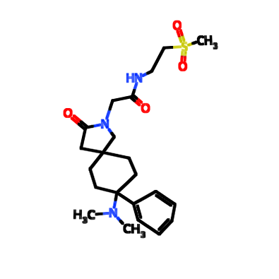 CN(C)C1(c2ccccc2)CCC2(CC1)CC(=O)N(CC(=O)NCCS(C)(=O)=O)C2